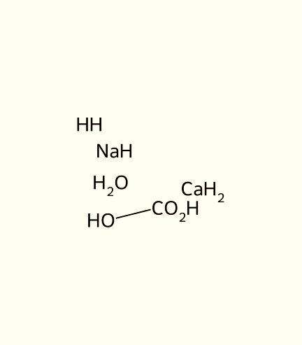 O.O=C(O)O.[CaH2].[HH].[NaH]